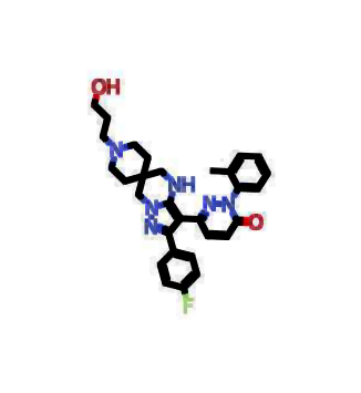 Cc1ccccc1-n1nc(-c2c(-c3ccc(F)cc3)nn3c2NCC2(CCN(CCCO)CC2)C3)ccc1=O